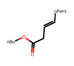 CCCCCC=CCC(=O)OCCCC